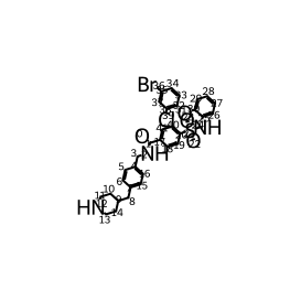 O=C(NCc1ccc(CC2CCNCC2)cc1)c1ccc(S(=O)(=O)Nc2ccccc2Oc2ccc(Br)cc2Cl)cc1